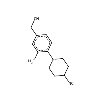 [C-]#[N+]C1CCN(c2ccc(CC#N)cc2C)CC1